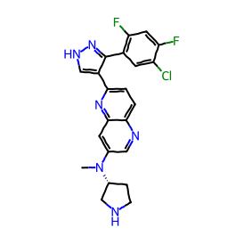 CN(c1cnc2ccc(-c3c[nH]nc3-c3cc(Cl)c(F)cc3F)nc2c1)[C@@H]1CCNC1